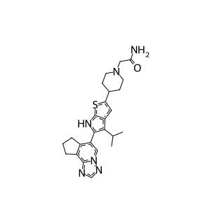 CC(C)c1c(-c2cn3ncnc3c3c2CCC3)[nH]c2sc(C3CCN(CC(N)=O)CC3)cc12